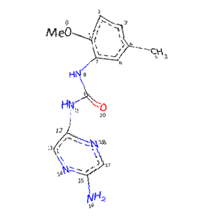 COc1ccc(C)cc1NC(=O)Nc1cnc(N)cn1